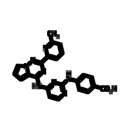 Cc1cccc(-c2nc(Nc3ccnc(Nc4ccc(C(=O)O)cc4)n3)c3cccn3n2)n1